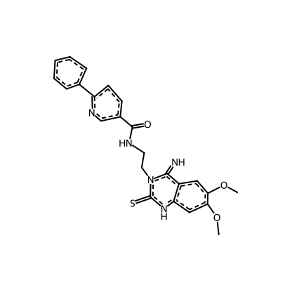 COc1cc2[nH]c(=S)n(CCNC(=O)c3ccc(-c4ccccc4)nc3)c(=N)c2cc1OC